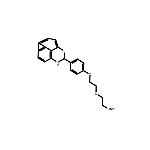 COCCOCCOc1ccc(C2Nc3ccc4c5c-4ccc(c35)S2)cc1